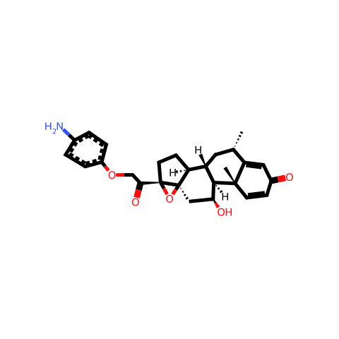 C[C@H]1C[C@@H]2[C@H]([C@@H](O)C[C@]34O[C@]3(C(=O)COc3ccc(N)cc3)CC[C@@H]24)[C@@]2(C)C=CC(=O)C=C12